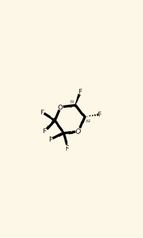 F[C@@H]1OC(F)(F)C(F)(F)O[C@H]1F